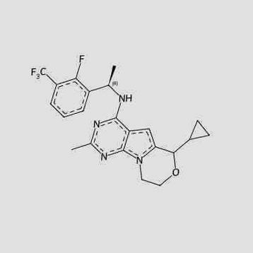 Cc1nc(N[C@H](C)c2cccc(C(F)(F)F)c2F)c2cc3n(c2n1)CCOC3C1CC1